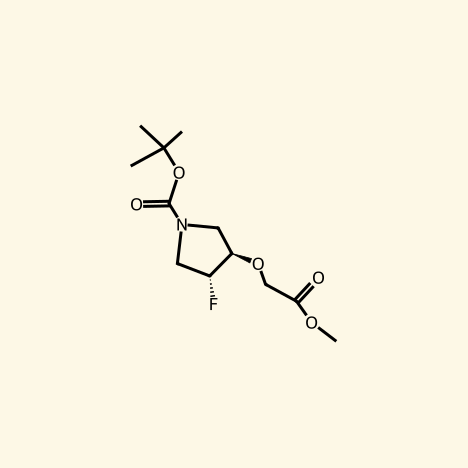 COC(=O)CO[C@@H]1CN(C(=O)OC(C)(C)C)C[C@H]1F